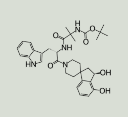 CC(C)(C)OC(=O)NC(C)(C)C(=O)N[C@@H](Cc1c[nH]c2ccccc12)C(=O)N1CCC2(CC1)C[C@@H](O)c1c(O)cccc12